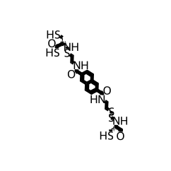 O=C[C@H](CS)NSSCCNC(=O)c1ccc2cc(C(=O)NCCSN[C@@H](CS)C(=O)S)ccc2c1